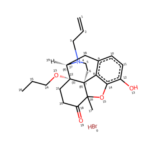 Br.C=CCN1CC[C@]23c4c5ccc(O)c4OC2(C)C(=O)CC[C@@]3(OCCC)[C@H]1C5